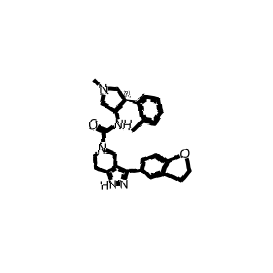 Cc1ccccc1[C@@H]1CN(C)CC1NC(=O)N1CCc2[nH]nc(C3C=C4CCOC4=CC3)c2C1